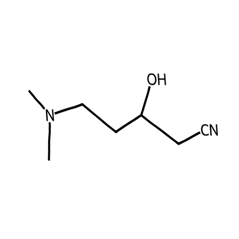 CN(C)CCC(O)CC#N